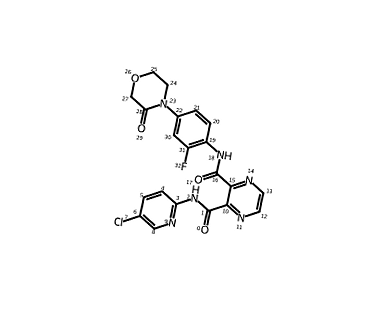 O=C(Nc1ccc(Cl)cn1)c1nccnc1C(=O)Nc1ccc(N2CCOCC2=O)cc1F